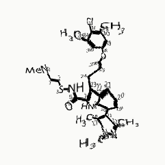 CNCCSNC(=O)c1[nH]c2c(-c3c(C)nn(C)c3C)cccc2c1CCCOc1cc(C)c(Cl)c(C)c1